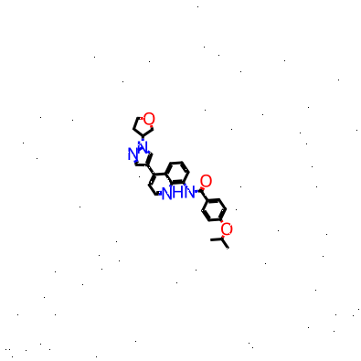 CC(C)Oc1ccc(C(=O)Nc2cccc3c(-c4cnn(C5CCOC5)c4)ccnc23)cc1